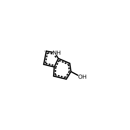 Oc1ccc2c[c][nH]c2c1